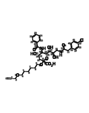 C#CCOCCCCCCO[C@]1(C(=O)O)C[C@H](O)[C@@H](NC(=O)c2ccccc2)[C@H]([C@H](O)[C@H](O)CNC(=O)Cc2ccc(Cl)cc2)O1